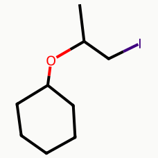 CC(CI)OC1CCCCC1